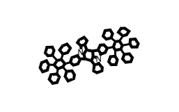 c1ccc(-c2c(-c3ccccc3)c(-c3ccccc3)c(-c3ccc4c5c6c7ccccc7n7c8cc(-c9c(-c%10ccccc%10)c(-c%10ccccc%10)c(-c%10ccccc%10)c(-c%10ccccc%10)c9-c9ccccc9)ccc8c(c8c9ccccc9n(c4c3)c85)c67)c(-c3ccccc3)c2-c2ccccc2)cc1